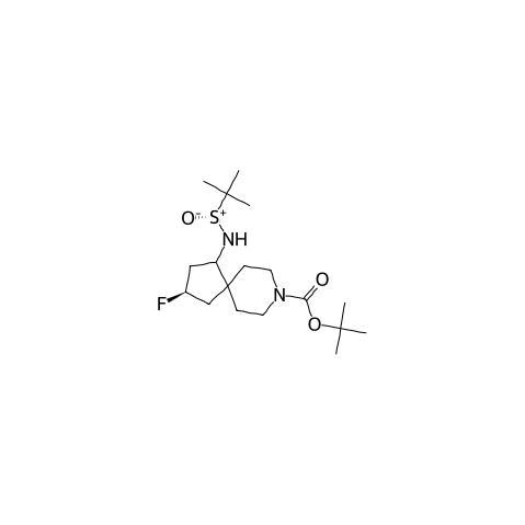 CC(C)(C)OC(=O)N1CCC2(CC1)C[C@@H](F)CC2N[S@+]([O-])C(C)(C)C